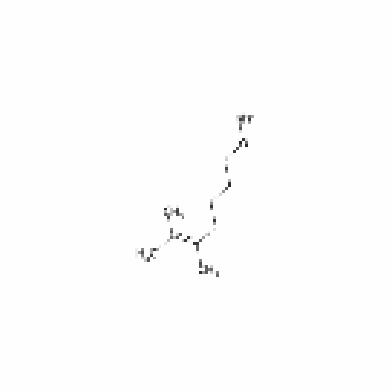 CC[CH]OCCCCC(C)=C(C)C